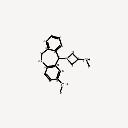 CNC1CN(C2c3ccccc3CSc3ccc(OC)cc32)C1